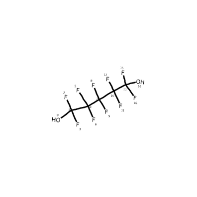 OC(F)(F)C(F)(F)C(F)(F)C(F)(F)C(O)(F)F